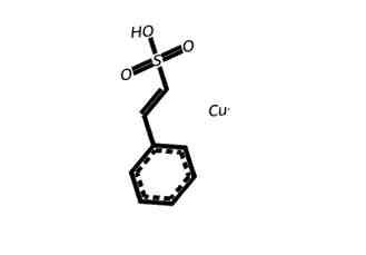 O=S(=O)(O)C=Cc1ccccc1.[Cu]